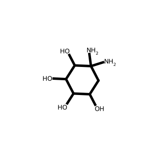 NC1(N)CC(O)C(O)C(O)C1O